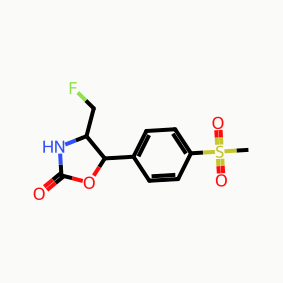 CS(=O)(=O)c1ccc(C2OC(=O)NC2CF)cc1